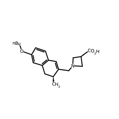 CCCCOc1ccc2c(c1)C[C@H](C)C(CN1CC(C(=O)O)C1)=C2